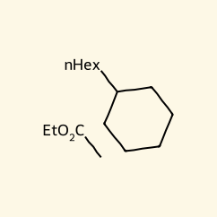 CCCCCCC1CCCCC1.CCOC(C)=O